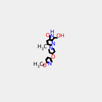 COc1ccc(OC2CCN(c3nc4c(cc3C)C(=O)NC4CO)CC2)cn1